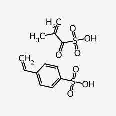 C=C(C)C(=O)S(=O)(=O)O.C=Cc1ccc(S(=O)(=O)O)cc1